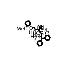 COc1ccccc1OCC(O)C(N)C(C)(C)C(=O)N(C)C(c1ccccc1)c1ccccc1.Cl